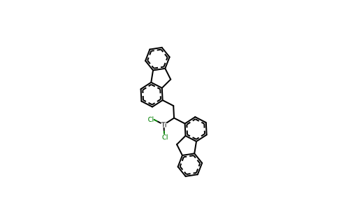 [Cl][Ti]([Cl])[CH](Cc1cccc2c1Cc1ccccc1-2)c1cccc2c1Cc1ccccc1-2